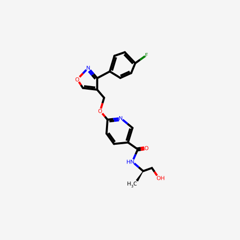 C[C@H](CO)NC(=O)c1ccc(OCc2conc2-c2ccc(F)cc2)nc1